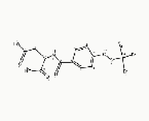 O=C(O)CC(NC(=O)c1ccc(OSC(Br)(Br)Br)cc1)C(=O)O